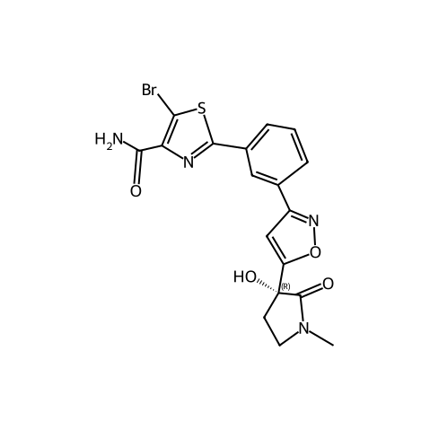 CN1CC[C@@](O)(c2cc(-c3cccc(-c4nc(C(N)=O)c(Br)s4)c3)no2)C1=O